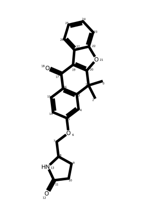 CC1(C)c2cc(OCC3CCC(=O)N3)ccc2C(=O)c2c1oc1ccccc21